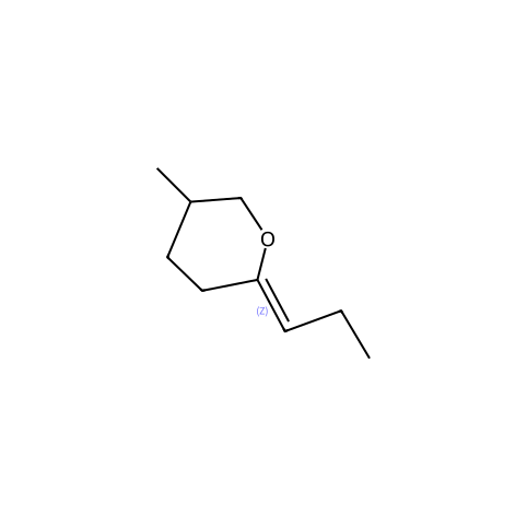 CC/C=C1/CCC(C)CO1